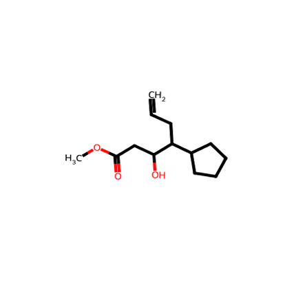 C=CCC(C(O)CC(=O)OC)C1CCCC1